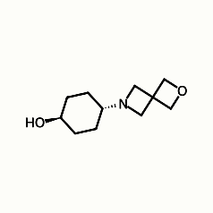 O[C@H]1CC[C@H](N2CC3(COC3)C2)CC1